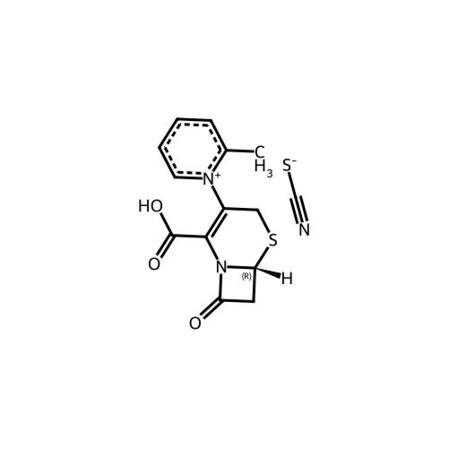 Cc1cccc[n+]1C1=C(C(=O)O)N2C(=O)C[C@H]2SC1.N#C[S-]